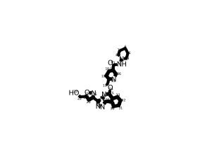 O=C(NN1CCCCC1)c1ccc(COc2nn3c(-c4cc(CO)on4)nnc3c3ccccc23)nc1